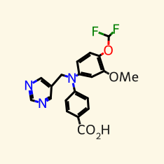 COc1cc(N(Cc2cncnc2)c2ccc(C(=O)O)cc2)ccc1OC(F)F